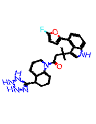 CC(C)(CC(=O)N1CCCC2C(C3=NNNN3)CCCC21)c1c[nH]c2cccc(-c3ccc(F)o3)c12